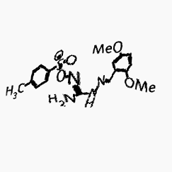 COc1ccc(OC)c(C=NNC(N)=NOS(=O)(=O)c2ccc(C)cc2)c1